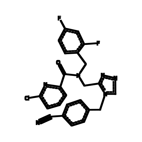 N#Cc1ccc(Cn2cnnc2CN(Cc2ccc(F)cc2F)C(=O)c2cccc(Cl)n2)cc1